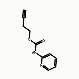 C#CCCOC(=O)Nc1ccccn1